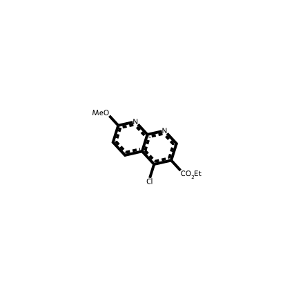 CCOC(=O)c1cnc2nc(OC)ccc2c1Cl